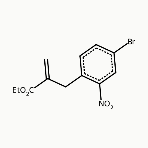 C=C(Cc1ccc(Br)cc1[N+](=O)[O-])C(=O)OCC